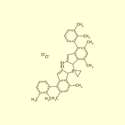 CCC1=Cc2c(-c3cccc(C)c3C)c(C)cc(C)c2[CH]1[Zr+2]1([CH]2C(CC)=Cc3c(-c4cccc(C)c4C)c(C)cc(C)c32)[CH2][CH2]1.[Cl-].[Cl-]